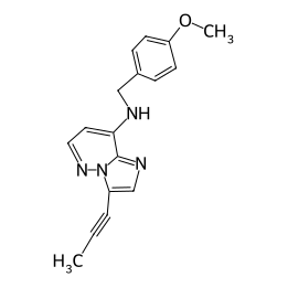 CC#Cc1cnc2c(NCc3ccc(OC)cc3)ccnn12